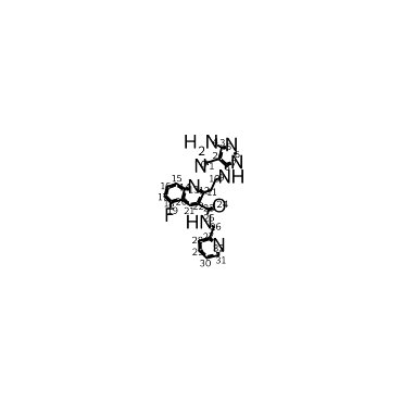 N#Cc1c(N)ncnc1NCCc1nc2cccc(F)c2cc1C(=O)NCc1ccccn1